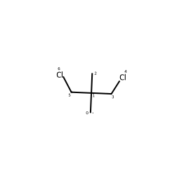 [CH2]C(C)(CCl)CCl